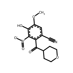 COc1cc(C#N)c(C(=O)C2CCOCC2)c([N+](=O)[O-])c1O